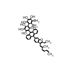 Bc1c(B)c(-c2c(O)c(O)c(O)c(-c3c4ccccc4c(-c4ccc5c(/C=C(C)/C=C\C=C/C)c(C=C)oc5c4)c4ccccc34)c2O)c(O)c(O)c1O